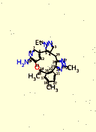 CCn1ncc2c1-c1cnc(N)c(c1)O[C@H](C)c1cc(C)ccc1-c1nn(C)nc1C2